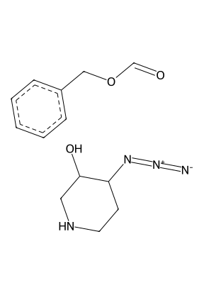 O=COCc1ccccc1.[N-]=[N+]=NC1CCNCC1O